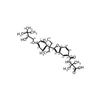 CCC(CC)(c1ccc(OC[C@@H](O)C(C)(C)C)cc1)c1cc2cc(C(=O)NC(C)(C)C(=O)O)ccc2o1